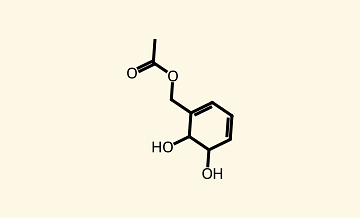 CC(=O)OCC1=CC=CC(O)C1O